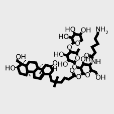 CC1OC(OC2C(OC(=O)CCCC(C)(C)CC3C[C@H](O)C[C@]4(C)C3=CCC3[C@@]5(C)CC[C@H](O)[C@@](C)(CO)C5CC[C@]34C)OC(CO)C(NC(=O)CCCCCN)C2O)C(O)C(O)C1OC1OCC(O)C(O)C1O